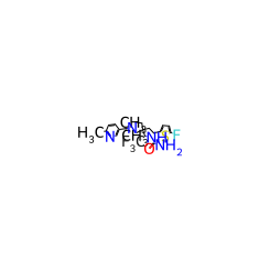 Cc1ccc(C(C)(C)N2CCC(CCc3ccc(F)s3)([C@H](NC(N)=O)C(F)(F)F)C2)cn1